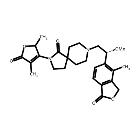 CO[C@@H](CN1CCC2(CC1)CCN(C1=C(C)C(=O)OC1C)C2=O)c1ccc2c(c1C)COC2=O